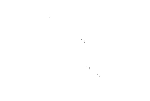 ICc1cc(-c2ccoc2)nc2ccnn12